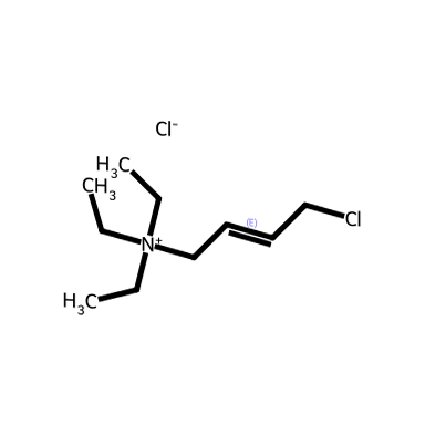 CC[N+](CC)(CC)C/C=C/CCl.[Cl-]